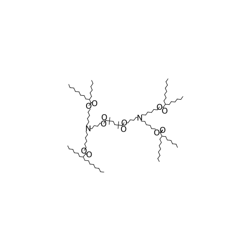 CCCCCCCCC(CCCCCC)C(=O)OCCCCCCN(CCCCCCOC(=O)C(CCCCCC)CCCCCCCC)CCCCOC(=O)C(C)(C)CCC(C)(C)C(=O)OCCCCN(CCCCCCOC(=O)C(CCCCCC)CCCCCCCC)CCCCCCOC(=O)C(CCCCCC)CCCCCCCC